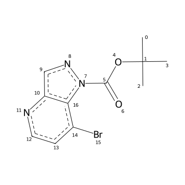 CC(C)(C)OC(=O)n1ncc2nccc(Br)c21